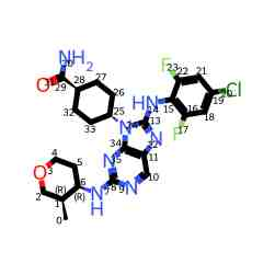 C[C@H]1COCC[C@H]1Nc1ncc2nc(Nc3c(F)cc(Cl)cc3F)n([C@H]3CC[C@H](C(N)=O)CC3)c2n1